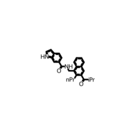 CCCc1c(C(=O)C(C)C)cc2ccccc2c1CNC(=O)c1ccc2cc[nH]c2c1